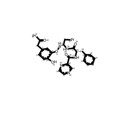 CC(C)C[C@@H](BOc1cc(CC(=O)C(C)C)ccc1O)NC(=O)[C@H](Cc1ccccc1)NC(=O)c1cnccn1